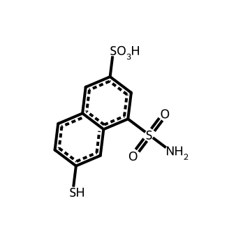 NS(=O)(=O)c1cc(S(=O)(=O)O)cc2ccc(S)cc12